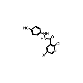 N#Cc1ccc(NNC(=O)c2cc(Br)cnc2Cl)cc1